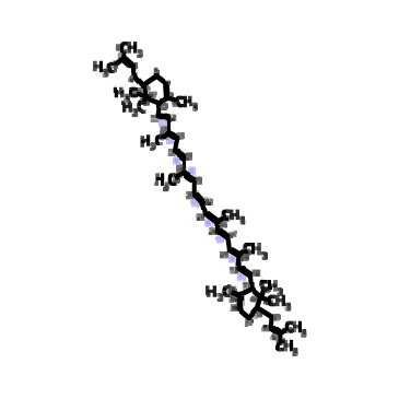 CC(C)=CCC1CC=C(C)C(/C=C/C(C)=C/C=C/C(C)=C/C=C/C=C(C)/C=C/C=C(C)/C=C/C2C(C)=CCC(CC=C(C)C)C2(C)C)C1(C)C